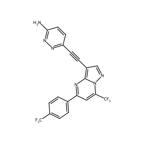 Nc1ccc(C#Cc2cnn3c(C(F)(F)F)cc(-c4ccc(C(F)(F)F)cc4)nc23)nn1